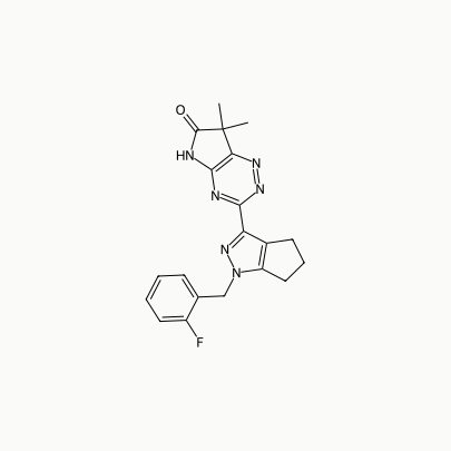 CC1(C)C(=O)Nc2nc(-c3nn(Cc4ccccc4F)c4c3CCC4)nnc21